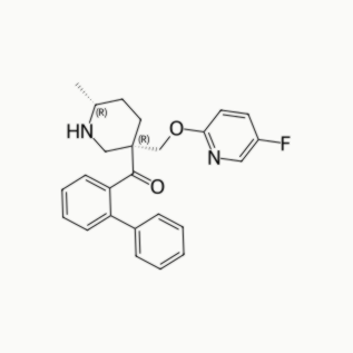 C[C@@H]1CC[C@@](COc2ccc(F)cn2)(C(=O)c2ccccc2-c2ccccc2)CN1